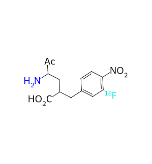 CC(=O)C(N)CC(Cc1ccc([N+](=O)[O-])c([18F])c1)C(=O)O